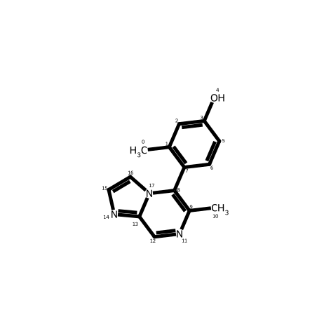 Cc1cc(O)ccc1-c1c(C)ncc2nccn12